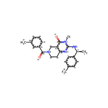 CCn1c(N[C@@H](C)c2ccc(C(F)(F)F)cc2)nc2c(c1=O)CN(C(=O)c1cccc(C)c1)CC2